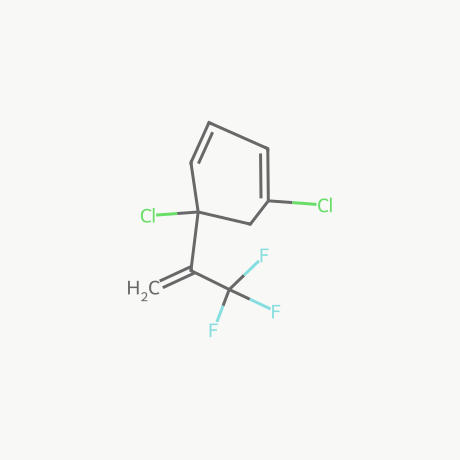 C=C(C(F)(F)F)C1(Cl)C=CC=C(Cl)C1